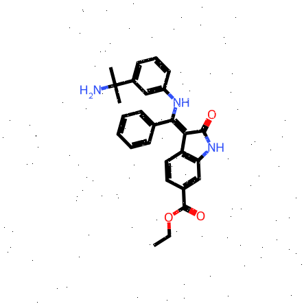 CCOC(=O)c1ccc2c(c1)NC(=O)/C2=C(\Nc1cccc(C(C)(C)N)c1)c1ccccc1